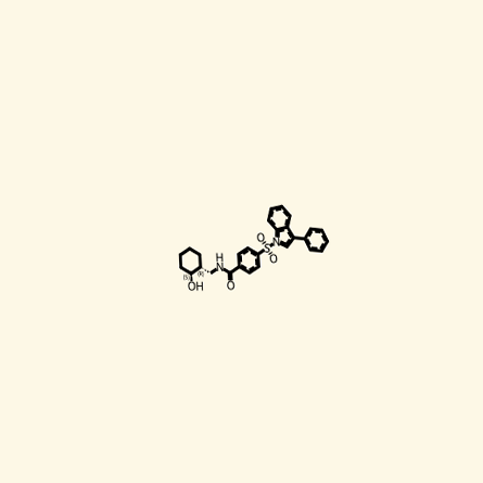 O=C(NC[C@H]1CCCC[C@@H]1O)c1ccc(S(=O)(=O)n2cc(-c3ccccc3)c3ccccc32)cc1